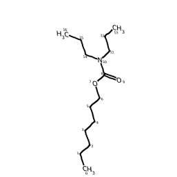 CCCCCCCOC(=O)N(CCC)CCC